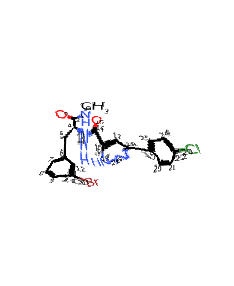 CNC(=O)[C@H](Cc1cccc(Br)c1)NC(=O)c1cc(-c2ccc(Cl)cc2)n[nH]1